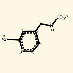 O=C(O)NCc1ccnc(Br)c1